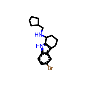 Brc1ccc2[nH]c3c(c2c1)CCCC3NCC1CCCC1